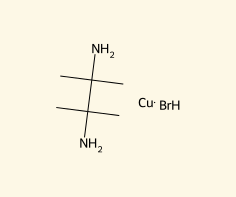 Br.CC(C)(N)C(C)(C)N.[Cu]